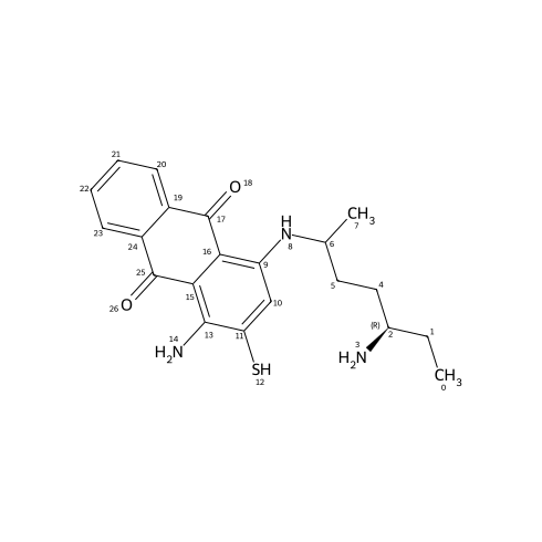 CC[C@@H](N)CCC(C)Nc1cc(S)c(N)c2c1C(=O)c1ccccc1C2=O